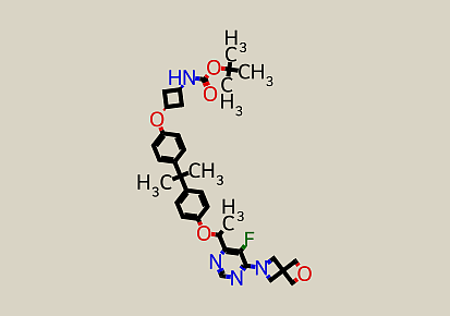 CC(Oc1ccc(C(C)(C)c2ccc(O[C@H]3C[C@H](NC(=O)OC(C)(C)C)C3)cc2)cc1)c1ncnc(N2CC3(COC3)C2)c1F